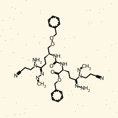 C=N/N=C(/CC[C@@H](COOCc1ccccc1)NC(=O)N[C@@H](CC/C(=N/N)N(CCC#N)N=C)C(=O)OCc1ccccc1)N(N)CCC#N